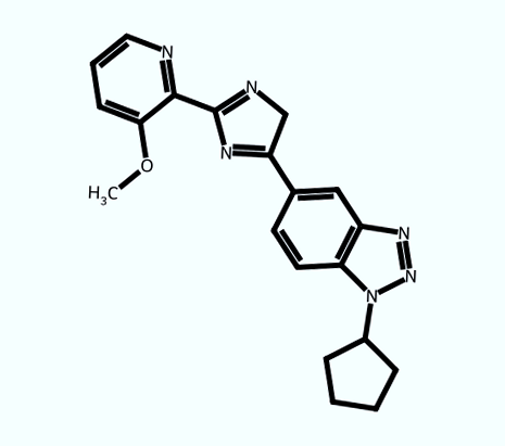 COc1cccnc1C1=NCC(c2ccc3c(c2)nnn3C2CCCC2)=N1